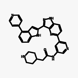 O=C(CC1CCNCC1)Nc1cncc(-c2ccc3[nH]nc(-c4cc5c(-c6ccncc6)cccc5[nH]4)c3n2)c1